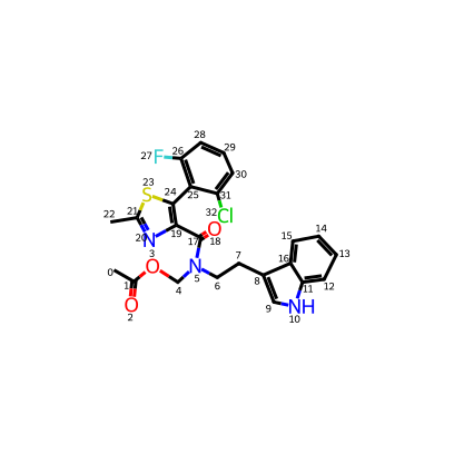 CC(=O)OCN(CCc1c[nH]c2ccccc12)C(=O)c1nc(C)sc1-c1c(F)cccc1Cl